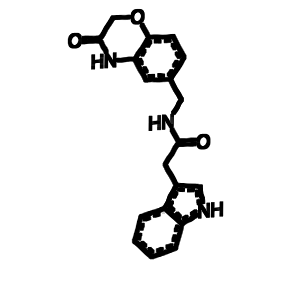 O=C(Cc1c[nH]c2ccccc12)NCc1ccc2c(c1)NC(=O)CO2